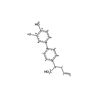 C=CCC(C(=O)O)c1ccc(-c2ccc(O)c(F)c2)cc1